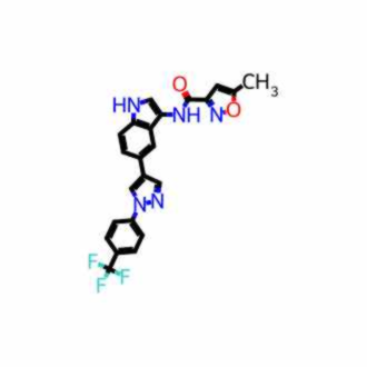 Cc1cc(C(=O)Nc2c[nH]c3ccc(-c4cnn(-c5ccc(C(F)(F)F)cc5)c4)cc23)no1